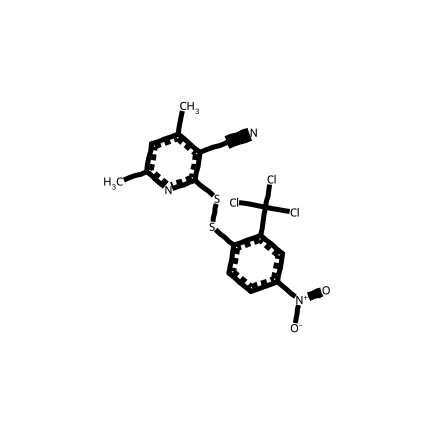 Cc1cc(C)c(C#N)c(SSc2ccc([N+](=O)[O-])cc2C(Cl)(Cl)Cl)n1